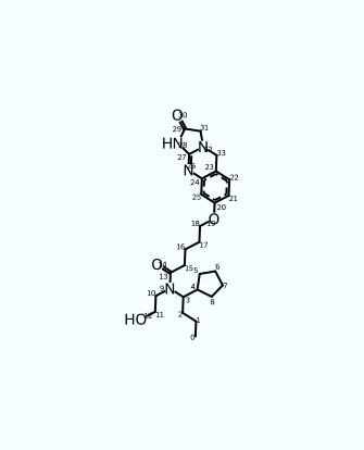 CCCC(C1CCCC1)N(CCO)C(=O)CCCCOc1ccc2c(c1)N=C1NC(=O)CN1C2